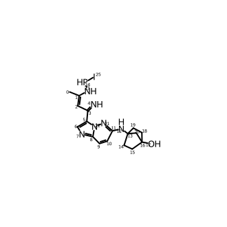 C/C(=C/C(=N)c1cnc2ccc(NC34CCC(O)(CC3)C4)nn12)NPI